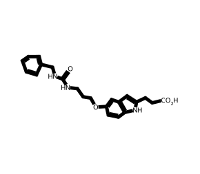 O=C(O)CCc1cc2cc(OCCCNC(=O)NCc3ccccc3)ccc2[nH]1